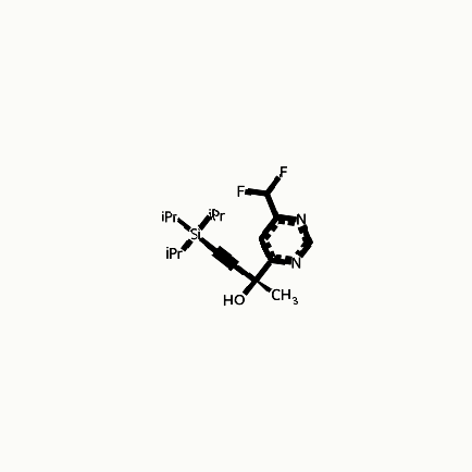 CC(C)[Si](C#C[C@@](C)(O)c1cc(C(F)F)ncn1)(C(C)C)C(C)C